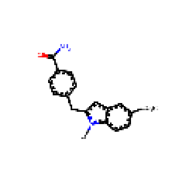 CCOC(=O)c1ccc2c(c1)cc(Cc1ccc(C(N)=O)cc1)n2CC